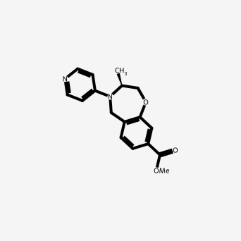 COC(=O)c1ccc2c(c1)OC[C@H](C)N(c1ccncc1)C2